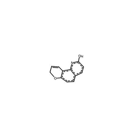 Oc1ccc2ccc3c(c2n1)C=CCO3